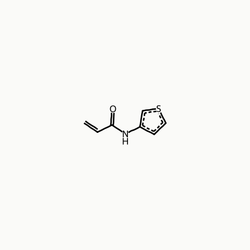 C=CC(=O)Nc1ccsc1